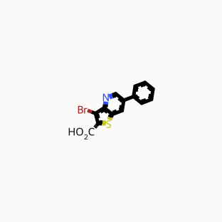 O=C(O)c1sc2cc(-c3ccccc3)cnc2c1Br